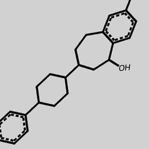 Oc1ccc2c(c1)CCC(C1CCC(c3ccccc3)CC1)CC2O